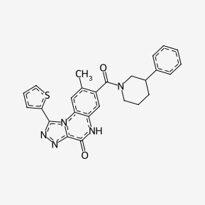 Cc1cc2c(cc1C(=O)N1CCCC(c3ccccc3)C1)[nH]c(=O)c1nnc(-c3cccs3)n12